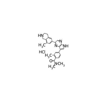 Cc1cc(-c2c[nH]c3ncc(-c4cc(C)c5c(c4)CCNC5)nc23)ccc1C(=O)N(C)C.Cl